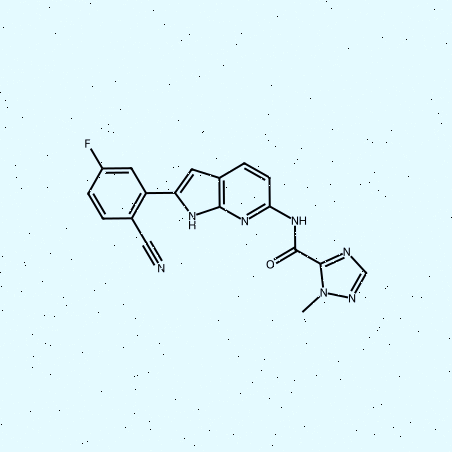 Cn1ncnc1C(=O)Nc1ccc2cc(-c3cc(F)ccc3C#N)[nH]c2n1